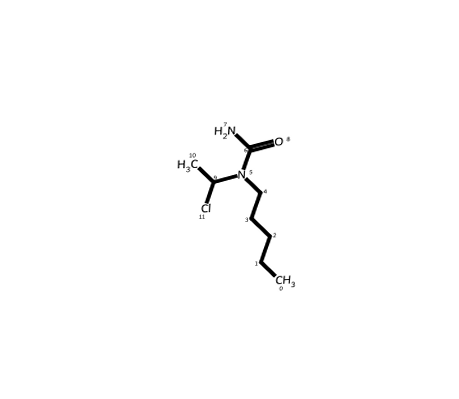 CCCCCN(C(N)=O)C(C)Cl